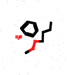 CCCCOOC.O.c1ccccc1